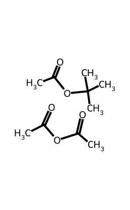 CC(=O)OC(C)(C)C.CC(=O)OC(C)=O